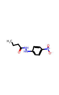 CCCC(=O)NNc1ccc([N+](=O)[O-])cc1